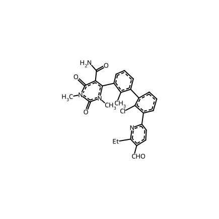 CCc1nc(-c2cccc(-c3cccc(-c4c(C(N)=O)c(=O)n(C)c(=O)n4C)c3C)c2Cl)ccc1C=O